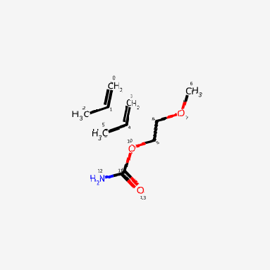 C=CC.C=CC.COCCOC(N)=O